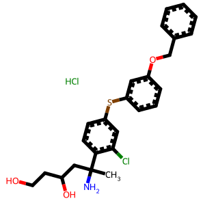 CC(N)(CC(O)CCO)c1ccc(Sc2cccc(OCc3ccccc3)c2)cc1Cl.Cl